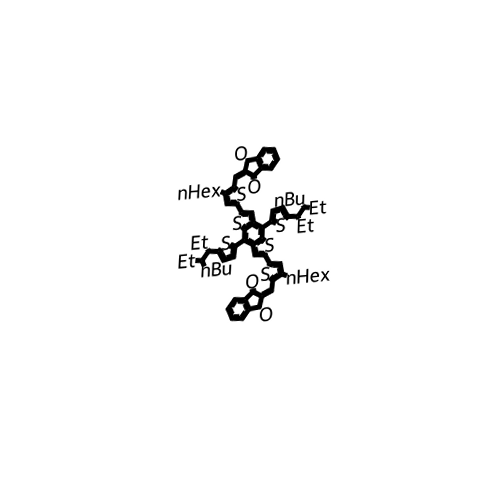 CCCCCCc1cc(-c2cc3c(-c4ccc(C(CC)C(CC)CCCC)s4)c4sc(-c5cc(CCCCCC)c(C=C6C(=O)c7ccccc7C6=O)s5)cc4c(-c4ccc(C(CC)C(CC)CCCC)s4)c3s2)sc1C=C1C(=O)c2ccccc2C1=O